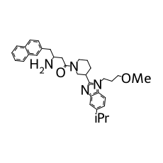 COCCCn1c(C2CCCN(C(=O)CC(N)Cc3ccc4ccccc4c3)C2)nc2cc(C(C)C)ccc21